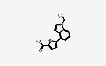 CCn1ccc2c(-c3ccc(C(=O)O)[nH]3)cccc21